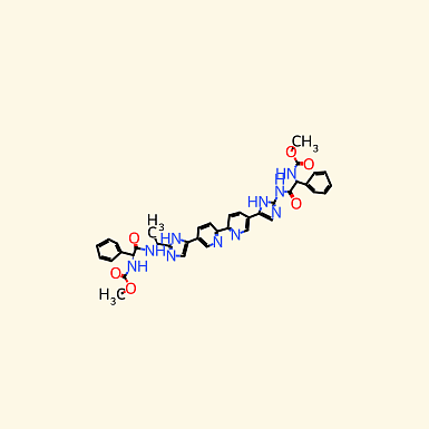 COC(=O)N[C@@H](C(=O)Nc1ncc(-c2ccc(-c3ccc(-c4cnc([C@H](C)NC(=O)[C@H](NC(=O)OC)c5ccccc5)[nH]4)cn3)nc2)[nH]1)c1ccccc1